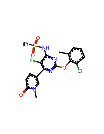 Cc1cccc(Cl)c1Oc1nc(NS(=O)(=O)C(C)C)c(F)c(-c2ccc(=O)n(C)c2)n1